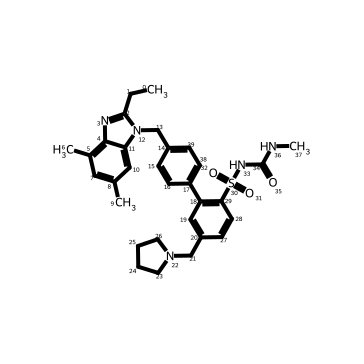 CCc1nc2c(C)cc(C)cc2n1Cc1ccc(-c2cc(CN3CCCC3)ccc2S(=O)(=O)NC(=O)NC)cc1